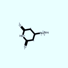 Br.NC1CC(=O)NC(=O)C1